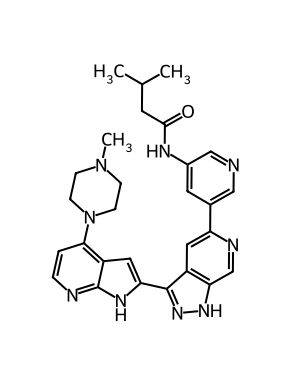 CC(C)CC(=O)Nc1cncc(-c2cc3c(-c4cc5c(N6CCN(C)CC6)ccnc5[nH]4)n[nH]c3cn2)c1